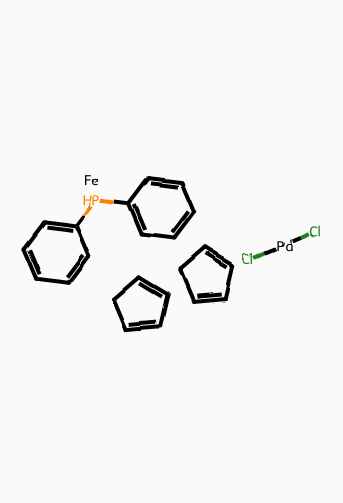 C1=CCC=C1.C1=CCC=C1.[Cl][Pd][Cl].[Fe].c1ccc(Pc2ccccc2)cc1